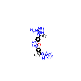 CCCC(=NNC(=N)N)c1ccc(NC(=O)Nc2ccc(C(CCC)=NNC(=N)N)cc2)cc1